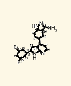 Nc1n[nH]c2ccc(-c3ccnc4[nH]c(-c5cc(F)cc(F)c5)cc34)cc12